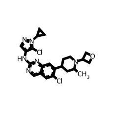 CC1CC(c2cc3nc(Nc4cnn(C5CC5)c4Cl)ncc3cc2Cl)CCN1C1COC1